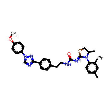 Cc1ccc(N2/C(=N/C(=O)NCCc3ccc(-c4ncn(-c5ccc(OC(F)(F)F)cc5)n4)cc3)SCC2C)c(C(C)C)c1